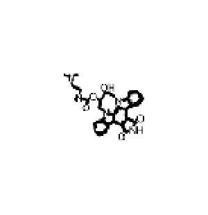 CN(C)CCN(C)C(=O)OC1Cn2c3ccccc3c3c4c(c5c6ccccc6n(c5c32)CC1O)C(=O)NC4=O